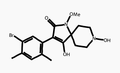 CON1C(=O)C(c2cc(Br)c(C)cc2C)=C(O)C12CCN(O)CC2